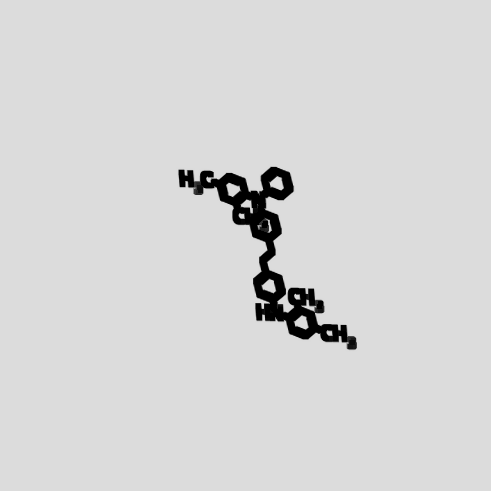 Cc1ccc(Nc2ccc(CCc3ccc(N(c4ccccc4)c4ccc(C)cc4C)cc3)cc2)c(C)c1